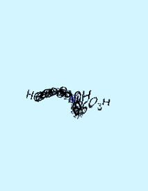 O=S(=O)(O)c1cc(O)c(/N=N/c2ccc(S(=O)(=O)CCOSOOO)cc2)c2ccccc12